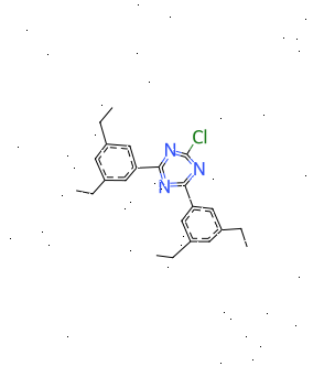 CCc1cc(CC)cc(-c2nc(Cl)nc(-c3cc(CC)cc(CC)c3)n2)c1